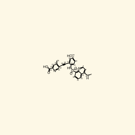 CNc1ccnc2c(S(=O)(=O)Nc3ccccc3C#Cc3cnc(C(=O)O)cc3C)cccc12.Cl